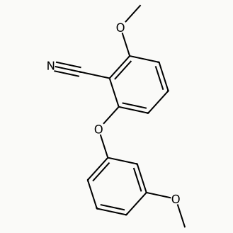 COc1cccc(Oc2cccc(OC)c2C#N)c1